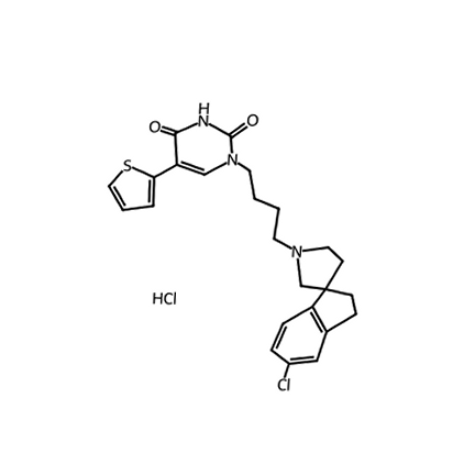 Cl.O=c1[nH]c(=O)n(CCCCN2CCC3(CCc4cc(Cl)ccc43)C2)cc1-c1cccs1